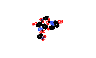 O=C(Nc1cc(Oc2ccc(-c3ccc(O)cc3)c(NC(=O)Oc3cccc([N+](=O)[O-])c3)c2)ccc1-c1ccc(O)cc1)Oc1cccc([N+](=O)[O-])c1